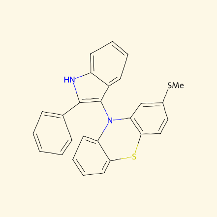 CSc1ccc2c(c1)N(c1c(-c3ccccc3)[nH]c3ccccc13)c1ccccc1S2